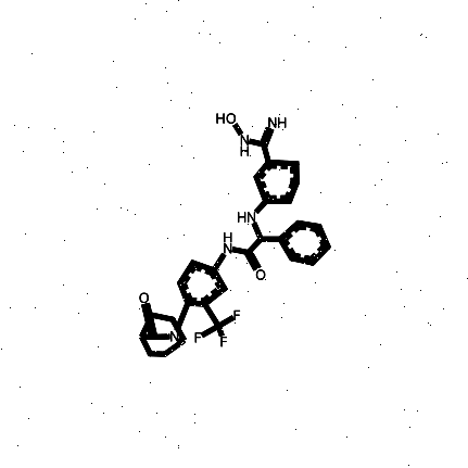 N=C(NO)c1cccc(NC(C(=O)Nc2ccc(N3C(=O)C4CCC3CC4)c(C(F)(F)F)c2)c2ccccc2)c1